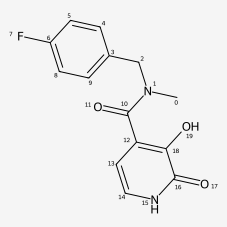 CN(Cc1ccc(F)cc1)C(=O)c1cc[nH]c(=O)c1O